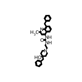 Cc1cc(NC(=O)NCCN2CCC(O)(Cc3ccccc3)CC2)c2cccc(Cc3ccccc3)c2n1